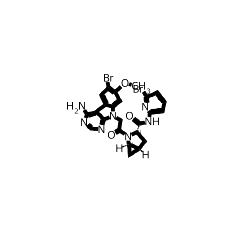 COc1cc2c(cc1Br)c1c(N)ncnc1n2CC(=O)N1[C@@H]2C[C@@H]2C[C@H]1C(=O)Nc1cccc(Br)n1